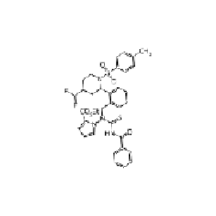 CCOC(=O)c1cccn1N(Cc1ccccc1C1CC(C(F)F)CCN1S(=O)(=O)c1ccc(C)cc1)C(=S)NC(=O)c1ccccc1